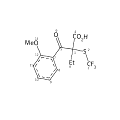 CCC(SC(F)(F)F)(C(=O)O)C(=O)c1ccccc1OC